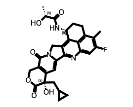 Cc1c(F)cc2nc3c(c4c2c1CC[C@H]4NC(=O)[C@@H](C)O)Cn1c-3cc2c(c1=O)COC(=O)[C@]2(O)CC1CC1